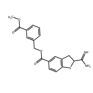 COC(=O)c1cccc(COC(=O)c2ccc3c(c2)CC(C(=N)N)S3)c1